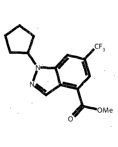 COC(=O)c1cc(C(F)(F)F)cc2c1cnn2C1CCCC1